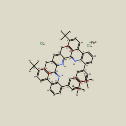 CC(C)(C)c1ccc(-c2cccc(-c3ccc(C(C)(C)C)cc3)c2N=C2CCCc3cc4c(nc32)C(=Nc2c(-c3ccc(C(C)(C)C)cc3)cccc2-c2ccc(C(C)(C)C)cc2)CCC4)cc1.[Cl-].[Cl-].[Fe+2]